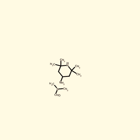 CC1(C)CC(N)CC(C)(C)N1.CN(C)C=O